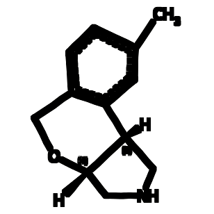 Cc1ccc2c(c1)[C@@H]1CNC[C@@H]1OC2